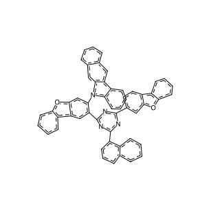 c1ccc2cc3c(cc2c1)c1ccccc1n3-c1cc2oc3ccccc3c2cc1-c1nc(-c2ccc3c(c2)oc2ccccc23)nc(-c2cccc3ccccc23)n1